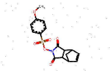 COc1ccc(S(=O)(=O)ON2C(=O)C3C4C=CC(C4)C3C2=O)cc1